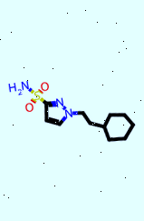 NS(=O)(=O)c1ccn(CCC2CCCCC2)n1